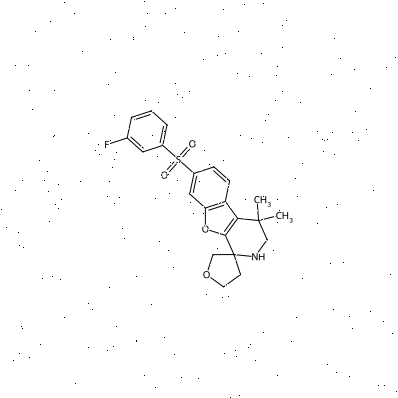 CC1(C)CNC2(CCOC2)c2oc3cc(S(=O)(=O)c4cccc(F)c4)ccc3c21